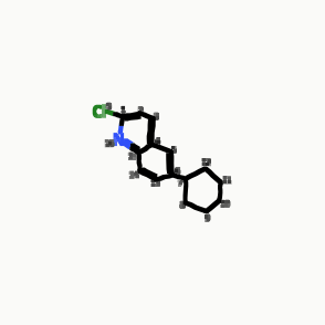 Clc1ccc2cc(C3CCCCC3)ccc2n1